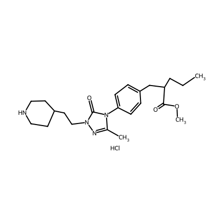 CCCC(Cc1ccc(-n2c(C)nn(CCC3CCNCC3)c2=O)cc1)C(=O)OC.Cl